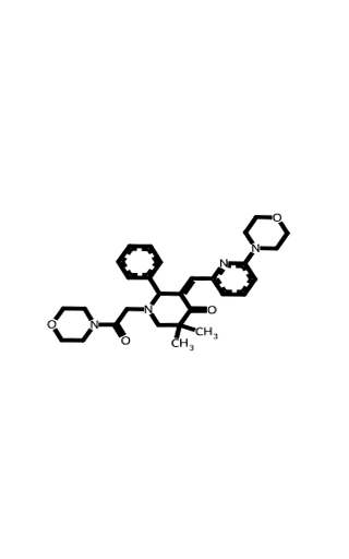 CC1(C)CN(CC(=O)N2CCOCC2)C(c2ccccc2)/C(=C/c2cccc(N3CCOCC3)n2)C1=O